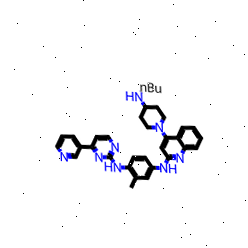 CCCCNC1CCN(c2cc(Nc3ccc(Nc4nccc(-c5cccnc5)n4)c(C)c3)nc3ccccc23)CC1